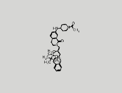 CC(=O)N1CCC(Nc2ccc3c(c2)C(=O)N(CC(CN2CCc4ccccc4C2)O[Si](C)(C)C(C)(C)C)CC3)CC1